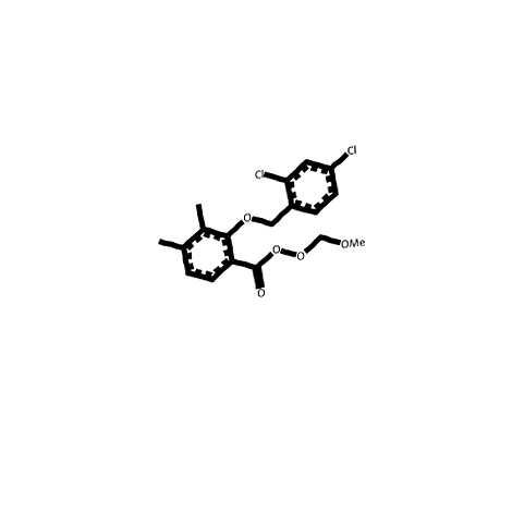 COCOOC(=O)c1ccc(C)c(C)c1OCc1ccc(Cl)cc1Cl